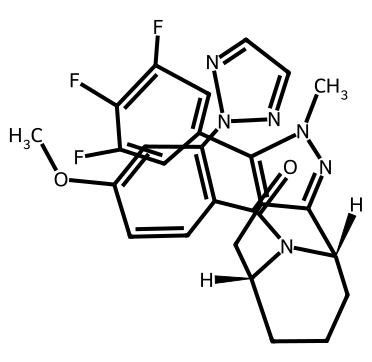 COc1ccc(C(=O)N2[C@@H]3CCC[C@H]2c2nn(C)c(-c4cc(F)c(F)c(F)c4)c2C3)c(-n2nccn2)c1